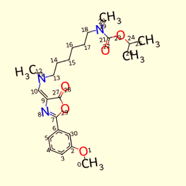 COc1cccc(C2=N/C(=C/N(C)CCCCCCN(C)C(=O)OC(C)C)C(=O)O2)c1